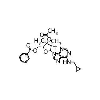 CC(=O)O[C@]1(C)[C@@H](COC(=O)c2ccccc2)O[C@@H](n2cnc3c(NCC4CC4)ncnc32)[C@]1(C)F